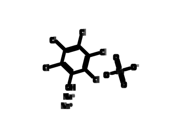 O=[Se](=O)([O-])[O-].Oc1c(Cl)c(Cl)c(Cl)c(Cl)c1Cl.[Na+].[Na+]